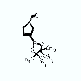 CC1(C)OB(C2=CCN(C=O)C2)OC1(C)C